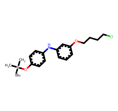 CC(C)(C)[Si](C)(C)Oc1ccc(Nc2cccc(OCCCCCl)c2)cc1